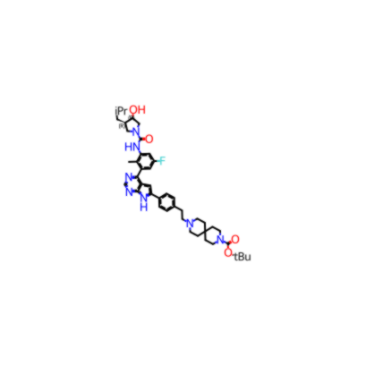 Cc1c(NC(=O)N2C[C@@H](CC(C)C)[C@@H](O)C2)cc(F)cc1-c1ncnc2[nH]c(-c3ccc(CCN4CCC5(CC4)CCN(C(=O)OC(C)(C)C)CC5)cc3)cc12